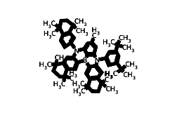 Cc1cc2c3c(c1)N(c1ccc4c(c1)C(C)(C)CCC4(C)C)c1cc4c(cc1B3c1cc3c(cc1N2c1cc(C(C)(C)C)cc(C(C)(C)C)c1)C(C)(C)CCC3(C)C)C(C)(C)CCC4(C)C